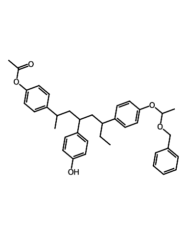 CCC(CC(CC(C)c1ccc(OC(C)=O)cc1)c1ccc(O)cc1)c1ccc(OC(C)OCc2ccccc2)cc1